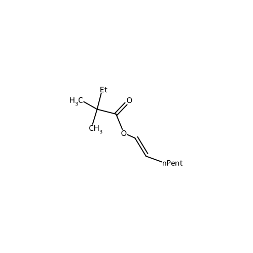 CCCCCC=COC(=O)C(C)(C)CC